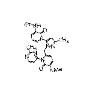 CNc1ccc(Cn2nc(C)cc2-n2cccc(NC(C)C)c2=O)n(-c2ccnc(C)n2)c1=O